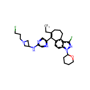 FCCCN1CC(Nc2cnc(C3=C(CC(F)(F)F)CCCc4c3ccc3c4c(F)nn3C3CCCCO3)cn2)C1